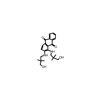 CC(C)(CO)CNc1ccc2c(c1NCC(C)(C)CO)C(=O)c1ccccc1C2=O